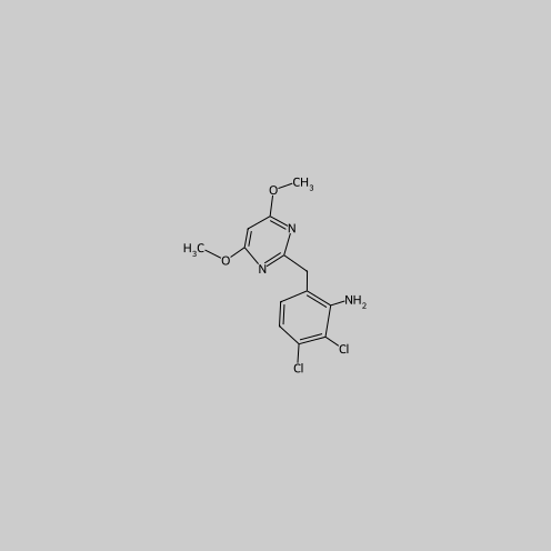 COc1cc(OC)nc(Cc2ccc(Cl)c(Cl)c2N)n1